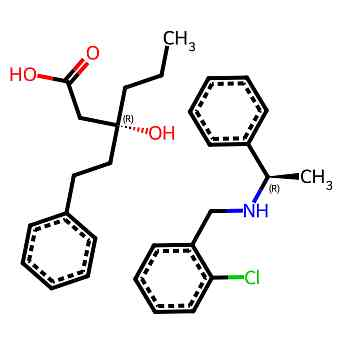 CCC[C@@](O)(CCc1ccccc1)CC(=O)O.C[C@@H](NCc1ccccc1Cl)c1ccccc1